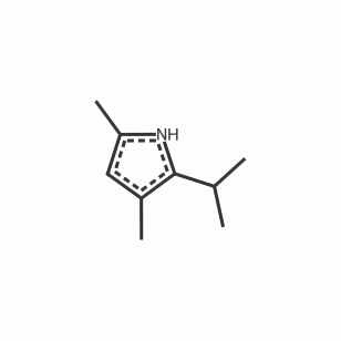 Cc1cc(C)c(C(C)C)[nH]1